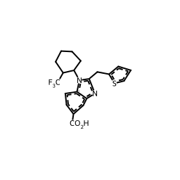 O=C(O)c1ccc2c(c1)nc(Cc1cccs1)n2C1CCCCC1C(F)(F)F